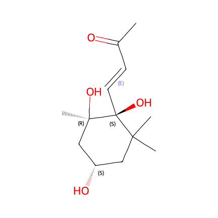 CC(=O)/C=C/[C@]1(O)C(C)(C)C[C@H](O)C[C@@]1(C)O